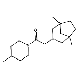 CC1CCN(C(=O)CC2CC3(C)CCC(C)(C2)C3)CC1